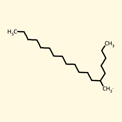 [CH2]C(CCCCC)CCCCCCCCCCCCC